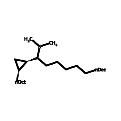 CCCCCCCCCCCCCCCC([C@H]1C[C@H]1CCCCCCCC)N(C)C